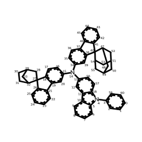 c1ccc(-n2c3ccccc3c3cc(N(c4ccc5c(c4)-c4ccccc4C54CC5CCC4C5)c4ccc5c(c4)C4(c6ccccc6-5)C5CC6CC(C5)CC4C6)ccc32)cc1